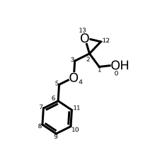 OCC1(COCc2ccccc2)CO1